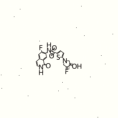 O=c1[nH]ccc2cc(F)c(NS(=O)(=O)c3ccc(N4C[C@@H](O)[C@@H](F)C4)s3)cc12